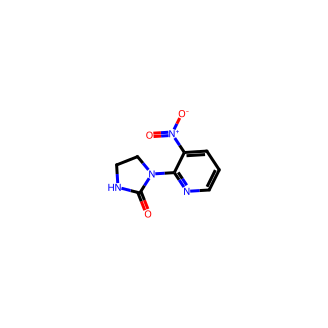 O=C1NCCN1c1ncccc1[N+](=O)[O-]